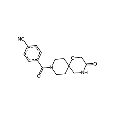 N#Cc1ccc(C(=O)N2CCC3(CC2)CNC(=O)CO3)cc1